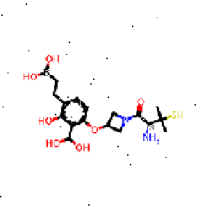 CC(C)(S)[C@@H](N)C(=O)N1CC(Oc2ccc(CCB(O)O)c(O)c2C(O)O)C1